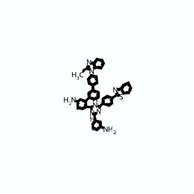 CCc1nc2ccccc2n1-c1ccc(-c2cccc(-c3cc(N)ccc3C3NC(c4cccc(N)c4)=NC(c4ccc(-c5nc6ccccc6s5)cc4)N3)c2)cc1